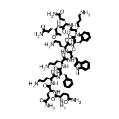 CC(=O)[C@H](CCC(N)=O)NC(=O)[C@H](CCC(N)=O)NC(=O)[C@H](CCCCN)NC(=O)[C@H](Cc1ccccc1)NC(=O)[C@H](CCCN)NC(=O)[C@H](Cc1c[nH]c2ccccc12)NC(=O)[C@H](CCCN)NC(=O)[C@H](Cc1ccccc1)NC(=O)[C@H](CCCN)NC(=O)[C@H](CCC(N)=O)NC(=O)[C@@H](N)CCC(N)=O